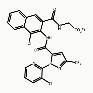 CCOC(=O)CNC(=O)c1cc2ccccc2c(Cl)c1NC(=O)c1cc(C(F)(F)F)nn1-c1ncccc1Cl